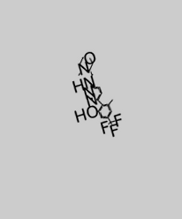 Cc1cc(C(F)(F)F)cc(O)c1-c1ccc(NC[C@@H]2COCCN2C)nn1